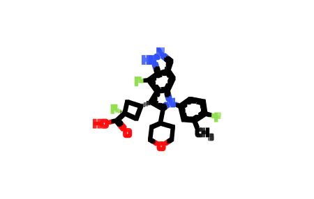 Cc1cc(-n2c(C3CCOCC3)c([C@H]3C[C@](F)(C(=O)O)C3)c3c(F)c4[nH]ncc4cc32)ccc1F